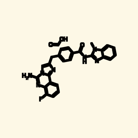 Cn1c(NC(=O)c2ccc(Cc3cn4c(N)nc5c(F)cccc5c4n3)cc2)nc2ccccc21.O=CO